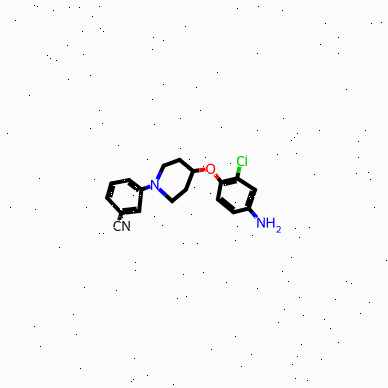 N#Cc1cccc(N2CCC(Oc3ccc(N)cc3Cl)CC2)c1